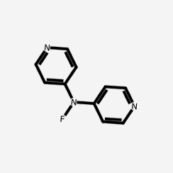 FN(c1ccncc1)c1ccncc1